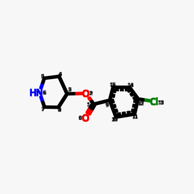 O=C(OC1CCNCC1)c1ccc(Cl)cc1